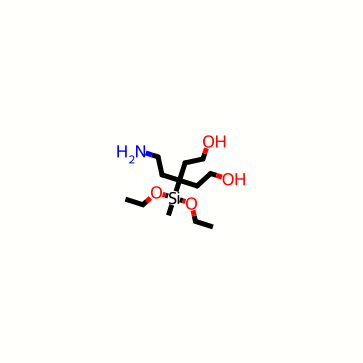 CCO[Si](C)(OCC)C(CCN)(CCO)CCO